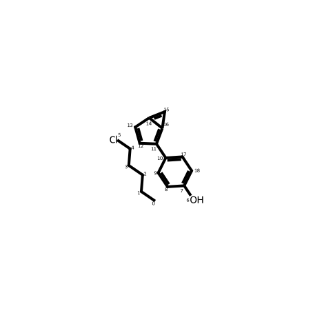 CCCCCCl.Oc1ccc(-c2ccc3cc2-3)cc1